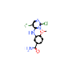 COc1ccc(C(N)=O)cc1Nc1nc(Cl)ncc1Cl